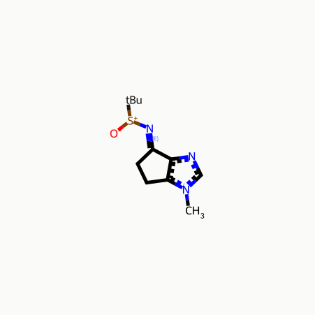 Cn1cnc2c1CC/C2=N\[S+]([O-])C(C)(C)C